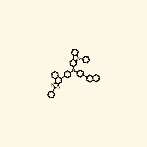 c1ccc(-c2nc3c(cc(-c4ccc(N(c5ccc(-c6ccc7ccccc7c6)cc5)c5ccc6c7ccccc7n(-c7ccccc7)c6c5)cc4)c4ccccc43)o2)cc1